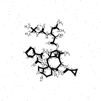 CC(=O)O[C@@]12CO[C@@H]1CC[C@@]1(C)C(=O)[C@H](OC(=O)C3CC3)C3=C(C)[C@@H](OC(=O)[C@H](O)[C@H](C=C(C)C)NC(=O)OC(C)(C)C)C[C@@](O)([C@@H](OC(=O)c4ccccc4)[C@H]21)C3(C)C